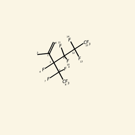 C=C(C)C(F)(C(F)(F)C(F)(F)F)C(F)(F)C(F)(F)C(F)(F)F